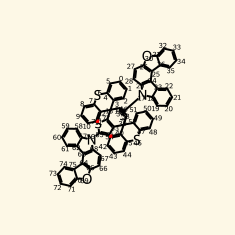 c1ccc2c(c1)Sc1ccccc1C21c2cc(-n3c4ccccc4c4c5c(ccc43)oc3ccccc35)sc2C2(c3ccccc3Sc3ccccc32)c2cc(-n3c4ccccc4c4c5c(ccc43)oc3ccccc35)sc21